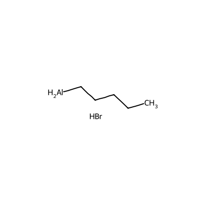 Br.CCCC[CH2][AlH2]